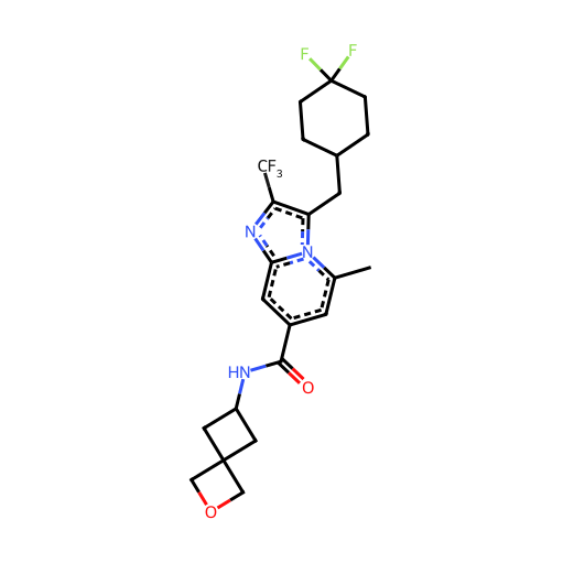 Cc1cc(C(=O)NC2CC3(COC3)C2)cc2nc(C(F)(F)F)c(CC3CCC(F)(F)CC3)n12